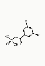 O=C(CP(=O)(O)O)c1cc(F)cc(Br)c1